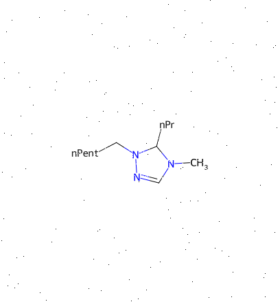 CCCCCCN1N=CN(C)C1CCC